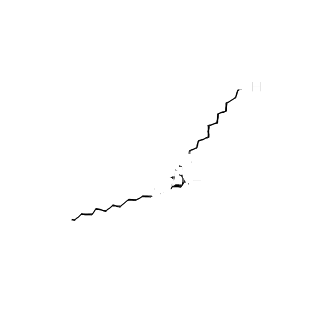 CCCCCCCCCCCCSSC1=CNN(SSCCCCCCCCCCCC)S1